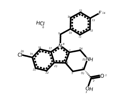 Cl.O=C(O)[C@@H]1Cc2c(n(Cc3ccc(F)cc3)c3cc(Cl)ccc23)CN1